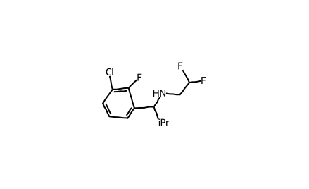 CC(C)C(NCC(F)F)c1cccc(Cl)c1F